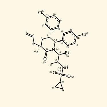 C=CC[C@@]1(C)C[C@H](c2cccc(Cl)c2)[C@@H](c2ccc(Cl)cc2)N([C@@H](CC)C(C)NS(=O)(=O)C2CC2)C1=O